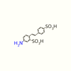 Nc1ccc(/C=C/c2ccc(S(=O)(=O)O)cc2)c(S(=O)(=O)O)c1